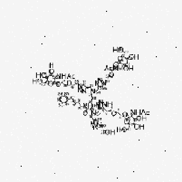 CC(=O)NC1C(OCCOCCc2[nH]nnc2CN(Cc2cn(CCO)nn2)[C@H](CCCCN(Cc2cn(CCOCCOC3OC(CO)C(O)C(O)C3NC(C)=O)nn2)Cc2cn(CCOCCOC3OC(CO)C(O)CC3(O)NC(C)=O)nn2)C(=O)NCCSSc2ccccc2)OC(CO)C(O)C1O